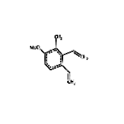 C=Cc1ccc(OC)c(C)c1C=C